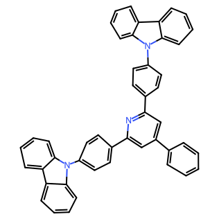 c1ccc(-c2cc(-c3ccc(-n4c5ccccc5c5ccccc54)cc3)nc(-c3ccc(-n4c5ccccc5c5ccccc54)cc3)c2)cc1